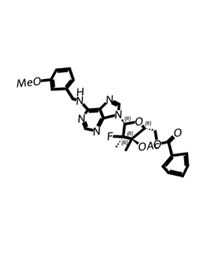 COc1cccc(CNc2ncnc3c2ncn3[C@@H]2O[C@H](COC(=O)c3ccccc3)[C@@](C)(OC(C)=O)[C@@]2(C)F)c1